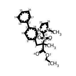 CCOC(=O)C(C)(Cc1ccc(-c2ccccc2)cc1)S(=O)(=O)c1nccn1C